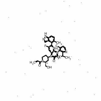 C=CC(=O)N1CCC(n2c(=O)c(=O)n(-c3c(C)ccnc3C(C)C)c3nc(-c4c(C)ccc5[nH]ncc45)c(F)cc32)C[C@H]1CO